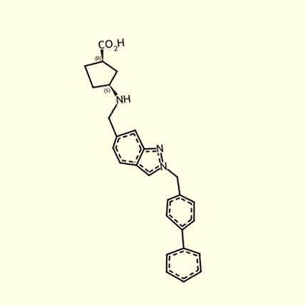 O=C(O)[C@@H]1CC[C@H](NCc2ccc3cn(Cc4ccc(-c5ccccc5)cc4)nc3c2)C1